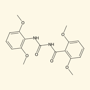 COc1cccc(OC)c1NC(=O)NC(=O)c1c(OC)cccc1OC